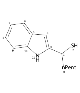 CCCCCC(S)c1cc2ccccc2[nH]1